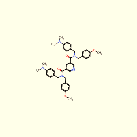 COc1ccc(CN(Cc2ccc(N(C)C)cc2)C(=O)c2cncc(C(=O)N(Cc3ccc(OC)cc3)Cc3ccc(N(C)C)cc3)c2)cc1